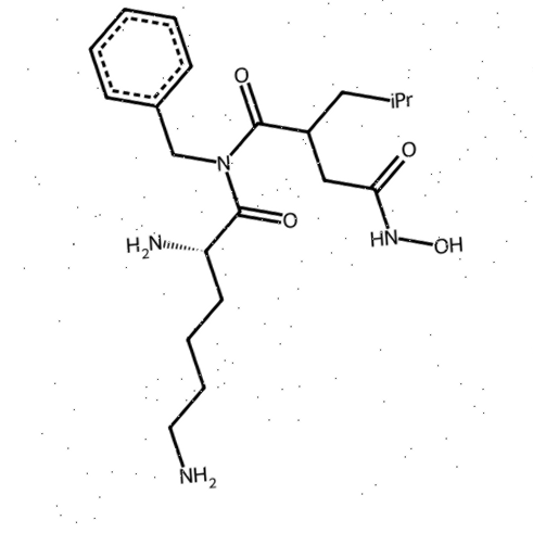 CC(C)CC(CC(=O)NO)C(=O)N(Cc1ccccc1)C(=O)[C@@H](N)CCCCN